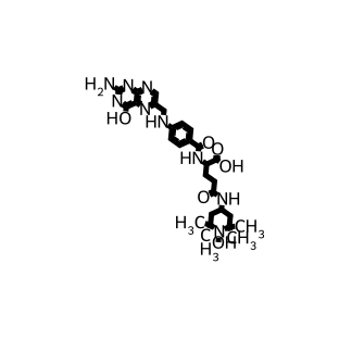 CC1(C)CC(NC(=O)CCC(NC(=O)c2ccc(NCc3cnc4nc(N)nc(O)c4n3)cc2)C(=O)O)CC(C)(C)N1O